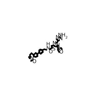 CC(=O)N1c2ccc(-c3ccc(CCNC(=O)c4cc5nc(-c6cnc(N)nc6)nc(N6CCOCC6)c5s4)cc3)cc2CCC1(C)C